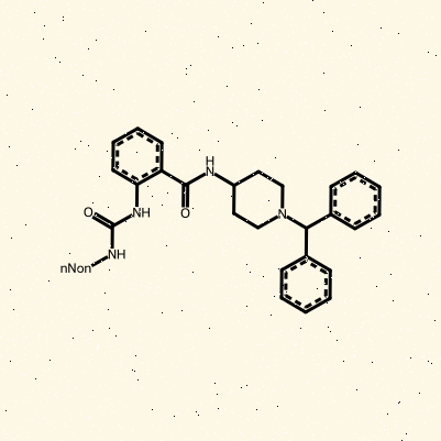 CCCCCCCCCNC(=O)Nc1ccccc1C(=O)NC1CCN(C(c2ccccc2)c2ccccc2)CC1